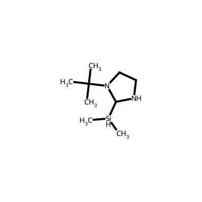 C[SiH](C)C1NCCN1C(C)(C)C